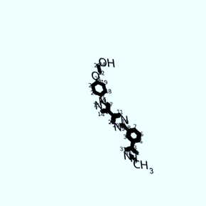 Cn1cc(-c2cccc(-c3ncc(-c4cnn([C@H]5CC[C@H](OCCO)CC5)c4)cn3)c2)cn1